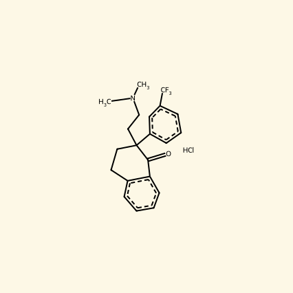 CN(C)CCC1(c2cccc(C(F)(F)F)c2)CCc2ccccc2C1=O.Cl